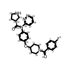 O=C(c1ccc(F)cc1)N1CCC(Oc2ccc(N(C(=O)[C@H]3CCNC3)c3cccnn3)cc2)CC1